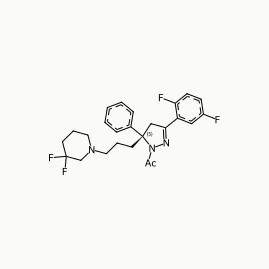 CC(=O)N1N=C(c2cc(F)ccc2F)C[C@@]1(CCCN1CCCC(F)(F)C1)c1ccccc1